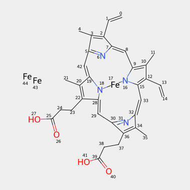 C=CC1=C(C)C2=NC/1=C\c1c(C)c(C=C)c3[n]1[Fe][n]1/c(c(C)c(CCC(=O)O)/c1=C/C1=NC(=C\3)/C(C)=C1CCC(=O)O)=C\2.[Fe].[Fe]